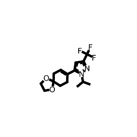 CC(C)n1nc(C(F)(F)F)cc1C1=CCC2(CC1)OCCO2